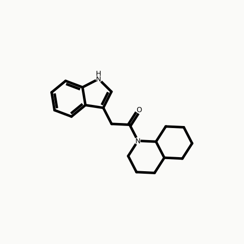 O=C(Cc1c[nH]c2ccccc12)N1CCCC2CCCCC21